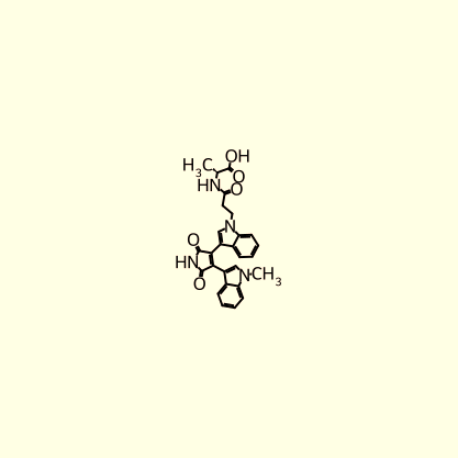 C[C@H](NC(=O)CCn1cc(C2=C(c3cn(C)c4ccccc34)C(=O)NC2=O)c2ccccc21)C(=O)O